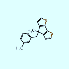 Cc1cccc(CC2(C)c3ccsc3-c3sccc32)c1